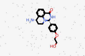 N[C@H]1CCN2c3c(cccc31)C(=O)N[C@@H]2c1ccc(OCCO)cc1